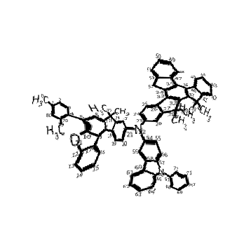 Cc1ccc(-c2cc3c(c4c2oc2ccccc24)-c2ccc(N(c4ccc5c(c4)C(C)(C)c4c-5c5c(c6c4C(C)(C)c4ccccc4-6)-c4ccccc4C5)c4ccc5c(c4)c4ccccc4n5-c4ccccc4)cc2C3(C)C)c(C)c1